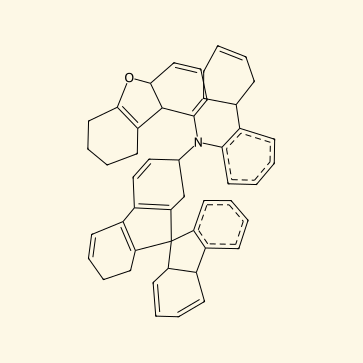 C1=CC2OC3=C(CCCC3)C2C(N(c2ccccc2C2CC=CCC2)C2C=CC3=C(C2)C2(C4=C3C=CCC4)c3ccccc3C3C=CC=CC32)=C1